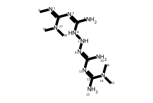 C/N=C(/N=C(/N)NN/N=C(N)/N=C(/N)N(C)C)N(C)C